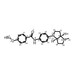 CCCCOc1ccc(C(=O)Nc2ccc(N3CC[C@H]4[C@@H]3CCN4C)cc2)cc1